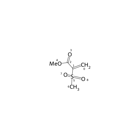 C=C(C(=O)OC)S(C)(=O)=O